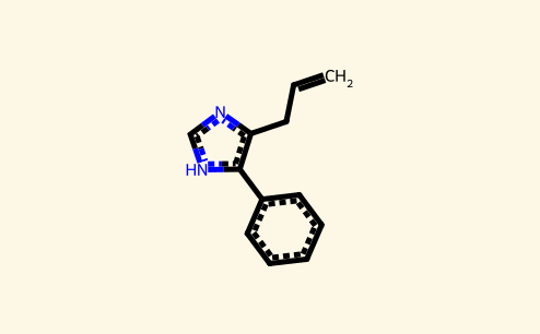 C=CCc1nc[nH]c1-c1ccccc1